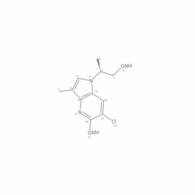 COC[C@H](C)n1cc(C)c2nc(OC)c(Cl)cc21